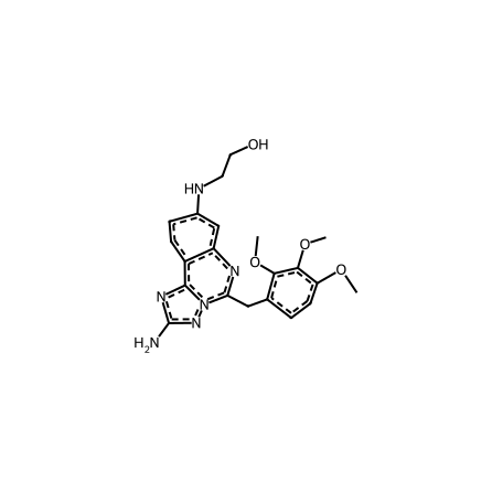 COc1ccc(Cc2nc3cc(NCCO)ccc3c3nc(N)nn23)c(OC)c1OC